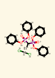 CCC(P(=O)(Oc1ccccc1)Oc1ccccc1)P(=O)(Oc1ccccc1)Oc1ccccc1.[Cl][Ni][Cl]